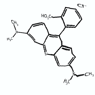 CN(C)c1ccc2c(-c3ccccc3C(=O)O)c3ccc(N(C)C)cc3[s+]c2c1.[Cl-]